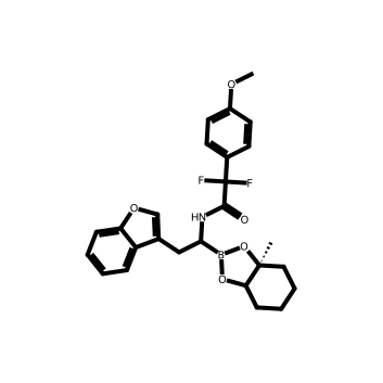 COc1ccc(C(F)(F)C(=O)NC(Cc2coc3ccccc23)B2OC3CCCC[C@]3(C)O2)cc1